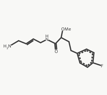 COC(CCc1ccc(F)cc1)C(=O)NC/C=C/CN